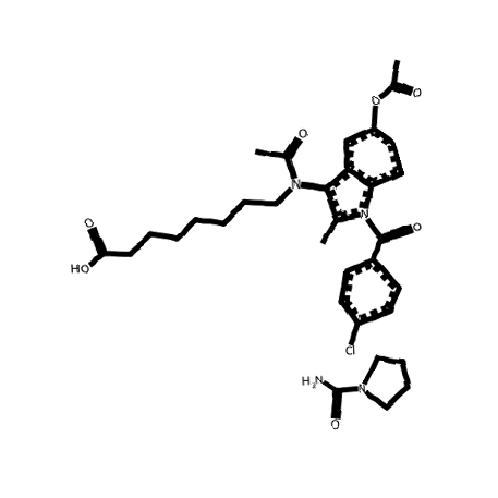 CC(=O)Oc1ccc2c(c1)c(N(CCCCCCCC(=O)O)C(C)=O)c(C)n2C(=O)c1ccc(Cl)cc1.NC(=O)N1CCCC1